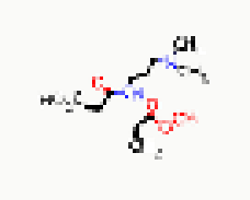 C=CC(=O)OO.CN(C)CCCNC(=O)/C=C\C(=O)O